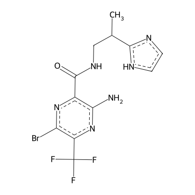 CC(CNC(=O)c1nc(Br)c(C(F)(F)F)nc1N)c1ncc[nH]1